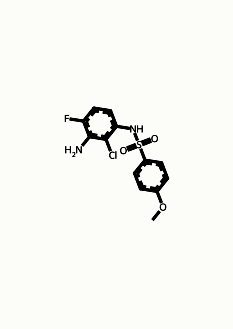 COc1ccc(S(=O)(=O)Nc2ccc(F)c(N)c2Cl)cc1